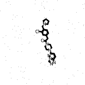 O=C(Cc1ccc(CN2CCCC2)c(Cl)c1)N1CCN(c2ccc3nncn3n2)CC1